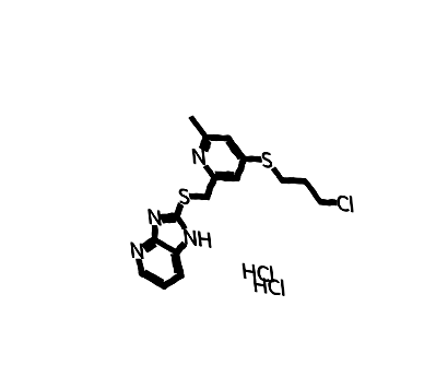 Cc1cc(SCCCCl)cc(CSc2nc3ncccc3[nH]2)n1.Cl.Cl